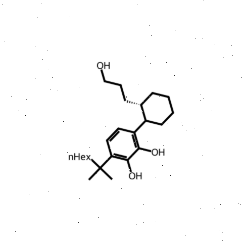 CCCCCCC(C)(C)c1ccc(C2CCCC[C@H]2CCCO)c(O)c1O